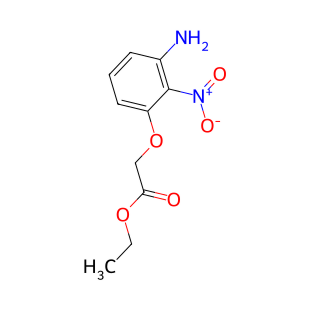 CCOC(=O)COc1cccc(N)c1[N+](=O)[O-]